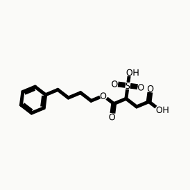 O=C(O)CC(C(=O)OCCCCc1ccccc1)S(=O)(=O)O